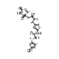 CN(Cc1csc(NC(=O)NCc2ccc(Cl)s2)n1)C(=O)Cn1ccc(=O)[nH]c1=O